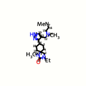 CCN1CC2(CCC(c3n[nH]cc3CN(C)CCNC)CC2)N(C)C1=O